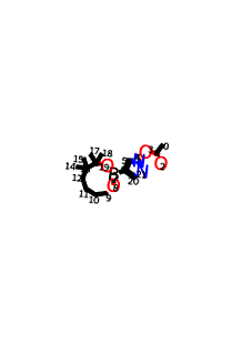 CC(=O)On1cc(B2OCCCCC(C)(C)C(C)(C)O2)cn1